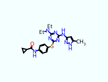 CCN(CC)c1nc(Nc2cc(C)[nH]n2)nc(Sc2ccc(NC(=O)C3CC3)cc2)n1